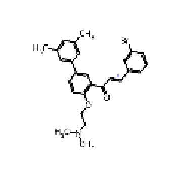 Cc1cc(C)cc(-c2ccc(OCCN(C)C)c(C(=O)/C=C/c3cccc(Br)c3)c2)c1